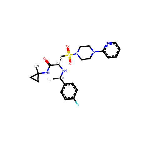 N#CC1(NC(=O)[C@H](CS(=O)(=O)N2CCN(c3ccccn3)CC2)N[C@@H](c2ccc(F)cc2)C(F)(F)F)CC1